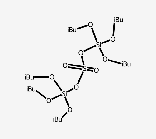 CCC(C)O[Si](OC(C)CC)(OC(C)CC)OS(=O)(=O)O[Si](OC(C)CC)(OC(C)CC)OC(C)CC